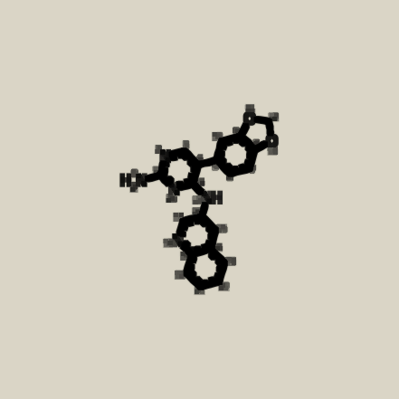 Nc1ncc(-c2ccc3c(c2)OCO3)c(Nc2cnc3ccccc3c2)n1